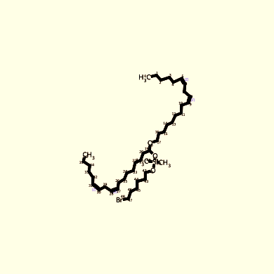 CCCCC/C=C\C/C=C\CCCCCCCCOC(CCCCCCC/C=C\C/C=C\CCCCC)O[Si](C)(C)OCCCCCCBr